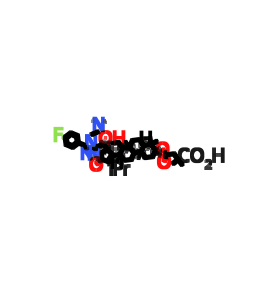 CC(C)C1=C2[C@H]3CCC4[C@@]5(C)CC[C@H](OC(=O)CC(C)(C)C(=O)O)C(C)(C)[C@@H]5CC[C@@]4(C)[C@]3(C)CC[C@@]2([C@@H](O)c2nnc(-c3ccc(F)cc3)n2CCN(C)C)CC1=O